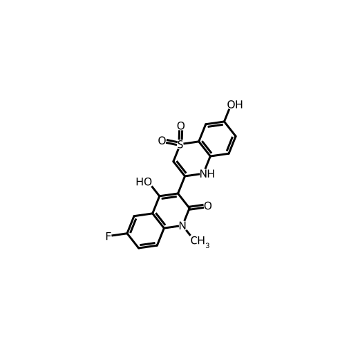 Cn1c(=O)c(C2=CS(=O)(=O)c3cc(O)ccc3N2)c(O)c2cc(F)ccc21